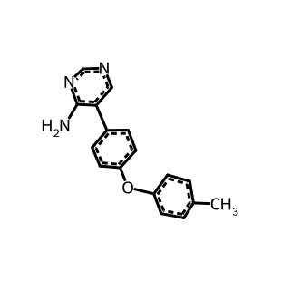 Cc1ccc(Oc2ccc(-c3cncnc3N)cc2)cc1